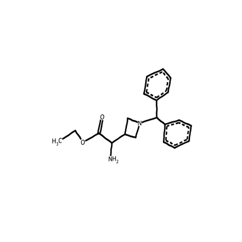 CCOC(=O)C(N)C1CN(C(c2ccccc2)c2ccccc2)C1